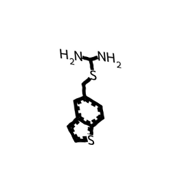 NC(N)SCc1ccc2sccc2c1